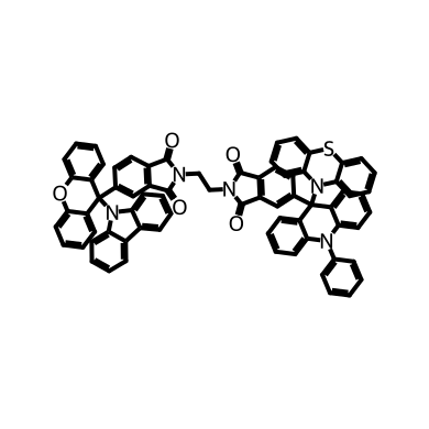 O=C1c2ccc(C3(N4c5ccccc5Sc5ccccc54)c4ccccc4N(c4ccccc4)c4ccccc43)cc2C(=O)N1CCN1C(=O)c2ccc(C3(n4c5ccccc5c5ccccc54)c4ccccc4Oc4ccccc43)cc2C1=O